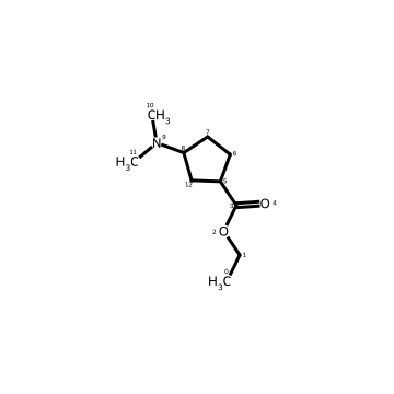 CCOC(=O)C1CCC(N(C)C)C1